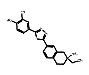 N#Cc1cc(-c2nnc(-c3ccc4c(c3)C[C@](N)(CO)CC4)o2)ccc1O